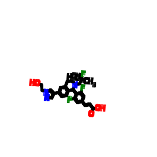 C[C@H]1Cc2cc(-c3cnn(CCO)c3)ccc2C(c2c(F)cc(/C=C/C(=O)O)cc2F)N1CC(C)(C)F